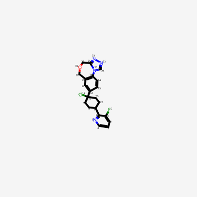 Fc1cccnc1C1CCC(Cl)(c2ccc3c(c2)COCc2nncn2-3)CC1